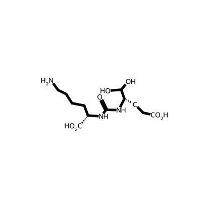 NCCCC[C@H](NC(=O)N[C@@H](CCC(=O)O)C(O)O)C(=O)O